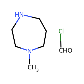 CN1CCCNCC1.O=CCl